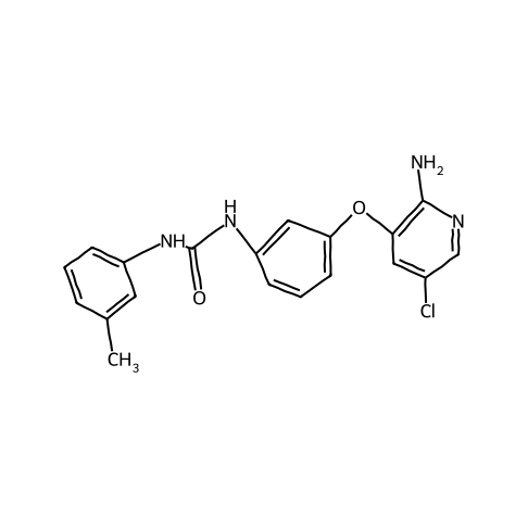 Cc1cccc(NC(=O)Nc2cccc(Oc3cc(Cl)cnc3N)c2)c1